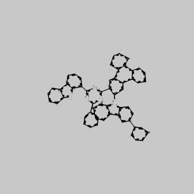 c1ccc(-c2ccc3c(c2)c2ccccc2n3-c2cc3c4ccccc4c4ccccc4c3cc2-c2nc(-c3ccccc3)nc(-c3cccc4c3sc3ccccc34)n2)cc1